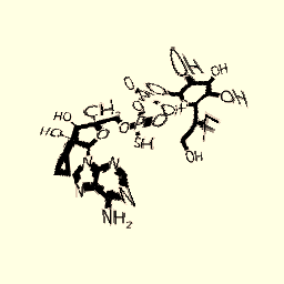 C[C@]1(COP(=O)(S)OP(=O)(O)OC2OC([C@@H](F)CO)C(O)C(O)C2O)O[C@@H](n2cnc3c(N)ncnc32)[C@@](O)(C2CC2)[C@@H]1O